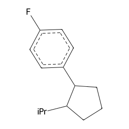 CC(C)C1CCCC1c1ccc(F)cc1